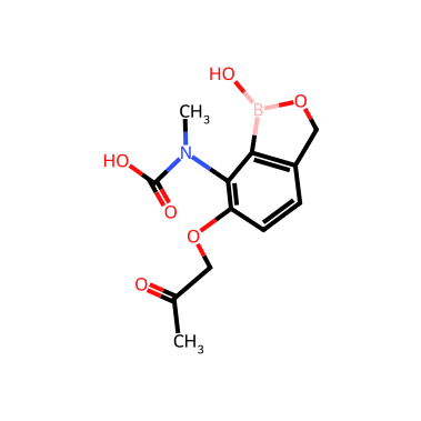 CC(=O)COc1ccc2c(c1N(C)C(=O)O)B(O)OC2